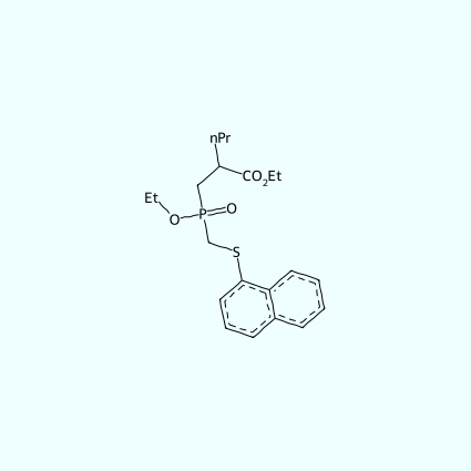 CCCC(CP(=O)(CSc1cccc2ccccc12)OCC)C(=O)OCC